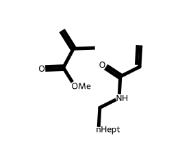 C=C(C)C(=O)OC.C=CC(=O)NCCCCCCCC